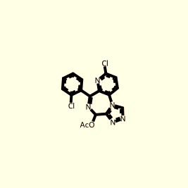 CC(=O)OC1N=C(c2ccccc2Cl)c2nc(Cl)ccc2-n2cnnc21